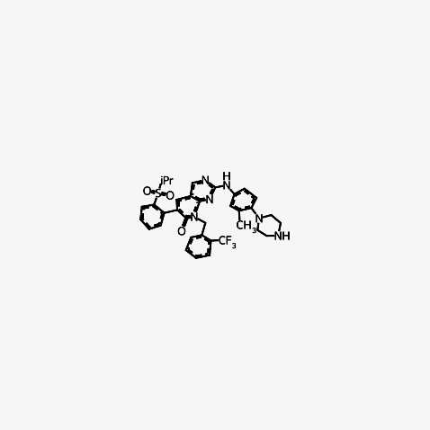 Cc1cc(Nc2ncc3cc(-c4ccccc4S(=O)(=O)C(C)C)c(=O)n(Cc4ccccc4C(F)(F)F)c3n2)ccc1N1CCNCC1